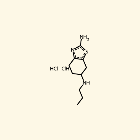 CCCNC1CCc2nc(N)sc2C1.Cl.Cl